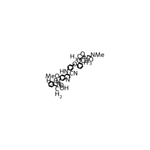 C=C(c1ccccc1)N(OO)N(C)c1cc2ncc(C#N)c(Nc3ccc(Oc4ccccc4OC(C)(C)C(=O)NCC(=O)NC)cc3)c2cc1OC